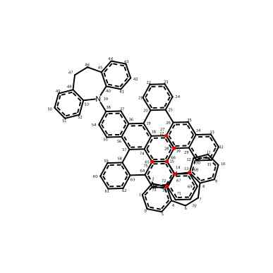 c1ccc2c(c1)CCc1ccccc1N2c1ccc2c(-c3ccccc3-c3ccc4ccccc4c3)c3cc(N4c5ccccc5CCc5ccccc54)ccc3c(-c3ccccc3-c3ccc4ccccc4c3)c2c1